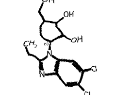 CCc1nc2cc(Cl)c(Cl)cc2n1[C@H]1CC(CO)C(O)C1O